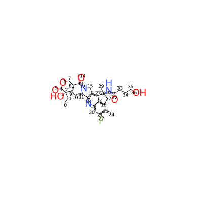 CC[C@@]1(O)C(=O)OCc2c1cc1n(c2=O)Cc2c-1nc1cc(F)c(C)c3c1c2C(C)(NC(=O)CCCO)C3